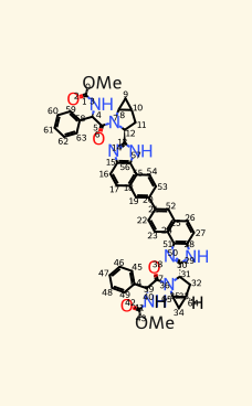 COC(=O)N[C@@H](C(=O)N1C2CC2C[C@H]1c1nc2ccc3cc(-c4ccc5c(ccc6[nH]c([C@@H]7C[C@H]8C[C@H]8N7C(=O)[C@H](NC(=O)OC)c7ccccc7)nc65)c4)ccc3c2[nH]1)c1ccccc1